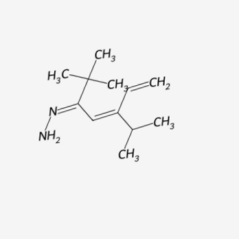 C=C/C(=C\C(=N/N)C(C)(C)C)C(C)C